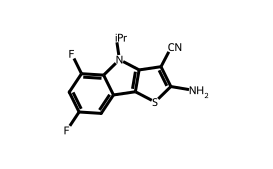 CC(C)n1c2c(F)cc(F)cc2c2sc(N)c(C#N)c21